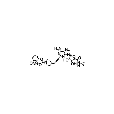 COc1ccccc1OC(=O)N1CCC(CC#Cc2nc(N)c3ncn([C@@H]4O[C@H](C(=O)NC5CC5)C(O)C4O)c3n2)CC1